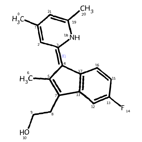 CC1=C/C(=C2\C(C)=C(CCO)c3cc(F)ccc32)NC(C)=C1